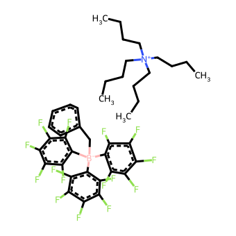 CCCC[N+](CCCC)(CCCC)CCCC.Fc1c(F)c(F)c([B-](Cc2ccccc2)(c2c(F)c(F)c(F)c(F)c2F)c2c(F)c(F)c(F)c(F)c2F)c(F)c1F